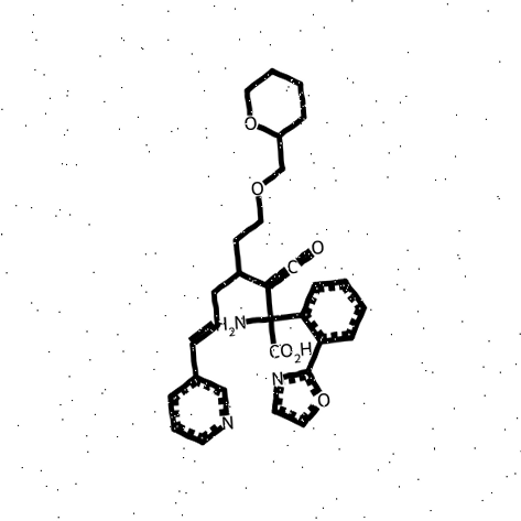 NC(C(=O)O)(C(=C=O)C(CC=Cc1cccnc1)CCOCC1CCCCO1)c1ccccc1-c1ncco1